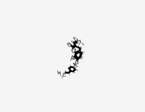 CCCC1CCC(OCOc2ccc3c(c2F)OC(=O)C(CCC)C3)CC1